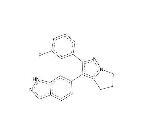 Fc1cccc(-c2nn3c(c2-c2ccc4cn[nH]c4c2)CCC3)c1